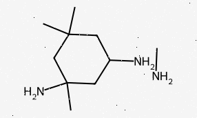 CC1(C)CC(N)CC(C)(N)C1.CN